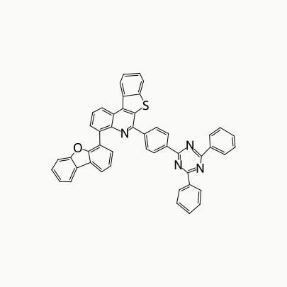 c1ccc(-c2nc(-c3ccccc3)nc(-c3ccc(-c4nc5c(-c6cccc7c6oc6ccccc67)cccc5c5c4sc4ccccc45)cc3)n2)cc1